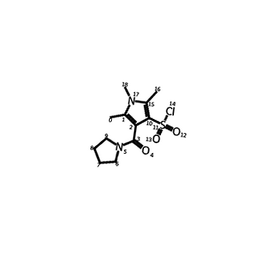 Cc1c(C(=O)N2CCCC2)c(S(=O)(=O)Cl)c(C)n1C